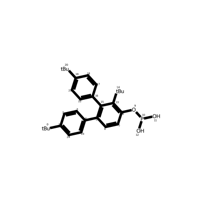 CC(C)(C)c1ccc(-c2ccc(OP(O)O)c(C(C)(C)C)c2-c2ccc(C(C)(C)C)cc2)cc1